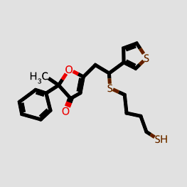 CC1(c2ccccc2)OC(CC(SCCCCS)c2ccsc2)=CC1=O